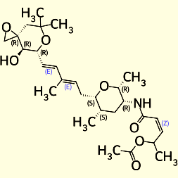 CC(=O)OC(C)/C=C\C(=O)N[C@@H]1C[C@H](C)[C@H](C/C=C(C)/C=C/[C@H]2OC(C)(C)C[C@@]3(CO3)[C@@H]2O)O[C@@H]1C